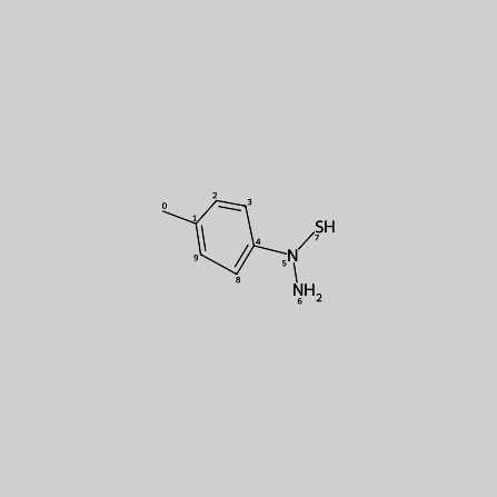 Cc1ccc(N(N)S)cc1